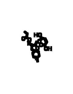 CCC(=O)ON=C1CC2(CCN(C)CC2)OC1C.O=C(O)/C=C\C(=O)O